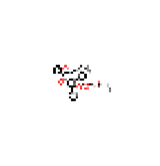 CCCCc1oc2ccccc2c1C(=O)c1cc(-c2ccccc2)c(OCOCCOC)c(-c2ccccc2)c1